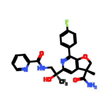 C[C@]1(C(N)=O)COc2c1cc([C@@](O)(CNC(=O)c1ccccn1)C(F)(F)F)nc2-c1ccc(F)cc1